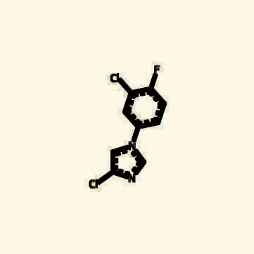 Fc1ccc(-n2cnc(Cl)c2)cc1Cl